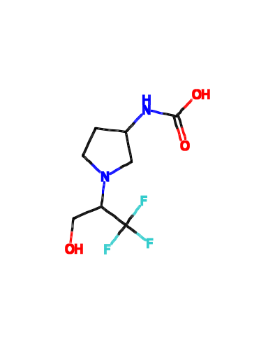 O=C(O)NC1CCN(C(CO)C(F)(F)F)C1